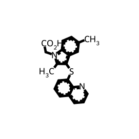 Cc1ccc2c(c1)c(Sc1cccc3cccnc13)c(C)n2CC(=O)O